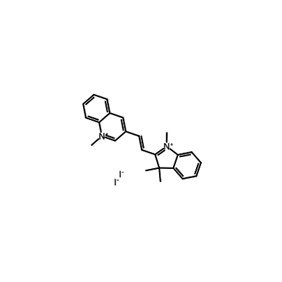 C[N+]1=C(/C=C/c2cc3ccccc3[n+](C)c2)C(C)(C)c2ccccc21.[I-].[I-]